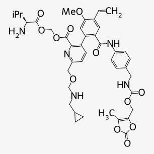 C=Cc1cc(C(=O)Nc2ccc(CNC(=O)OCc3oc(=O)oc3C)cc2)c(-c2ccc(COCNCC3CC3)nc2C(=O)OCOC(=O)[C@@H](N)C(C)C)cc1OC